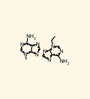 CCn1cnc(N)c2ncnc1-2.Cn1cnc(N)c2ncnc1-2